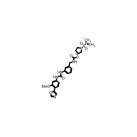 COc1cc(NC(=O)Nc2cccc(CNC(=O)O[C@@H]3CCN(S(=O)(=O)N(C)C)C3)c2)ccc1-c1cnco1